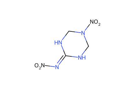 O=[N+]([O-])N=C1NCN([N+](=O)[O-])CN1